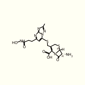 Cc1nc2nc(CCC(=O)NO)cc(SCC3=C(C(=O)O)N4C(=O)[C@@H](N)[C@H]4SC3)n2n1